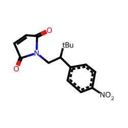 CC(C)(C)C(CN1C(=O)C=CC1=O)c1ccc([N+](=O)[O-])cc1